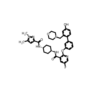 Cc1cc(C(=O)N[C@H]2CC[C@H](NC(=O)c3cc(F)cnc3Oc3cccc(-c4ccc(O)cc4CN4CCOCC4)c3)CC2)nn1C